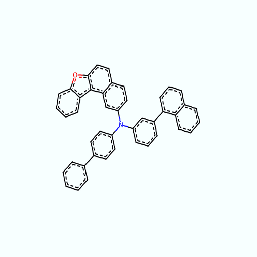 c1ccc(-c2ccc(N(c3cccc(-c4cccc5ccccc45)c3)c3ccc4ccc5oc6ccccc6c5c4c3)cc2)cc1